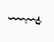 CCCCCCCNCCCn1ccnc1C